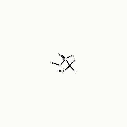 CCOC(=O)C(CC)(CC)P(=O)(O)OF